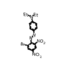 CCN(CC)c1ccc(N=Nc2c(Br)cc([N+](=O)[O-])cc2[N+](=O)[O-])cc1